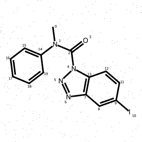 CN(C(=O)n1nnc2cc(I)ccc21)c1ccccc1